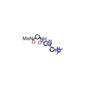 CNC(=O)[C@H]1CCC[C@H](NC(=O)c2ccn3c(-c4cccc(-n5nc(C)cc5C)c4)cnc3c2)C1